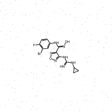 N=C(Nc1nonc1/C(=N/O)Nc1ccc(F)c(Br)c1)NC1CC1